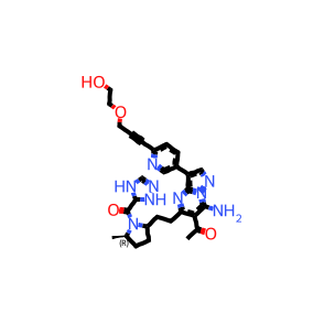 CC(=O)c1c(CCC2CC[C@@H](C)N2C(=O)C2NC=NN2)nc2c(-c3ccc(C#CCOCCO)nc3)cnn2c1N